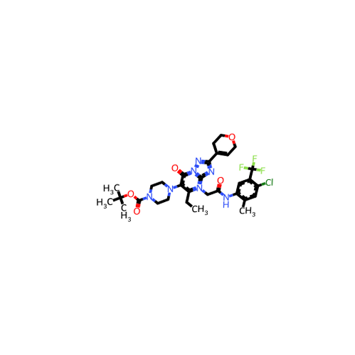 CCc1c(N2CCN(C(=O)OC(C)(C)C)CC2)c(=O)n2nc(C3=CCOCC3)nc2n1CC(=O)Nc1cc(C(F)(F)F)c(Cl)cc1C